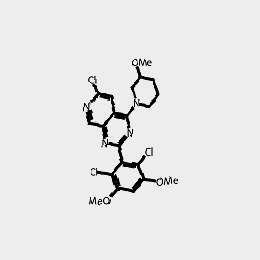 COc1cc(OC)c(Cl)c(-c2nc(N3CCCC(OC)C3)c3cc(Cl)ncc3n2)c1Cl